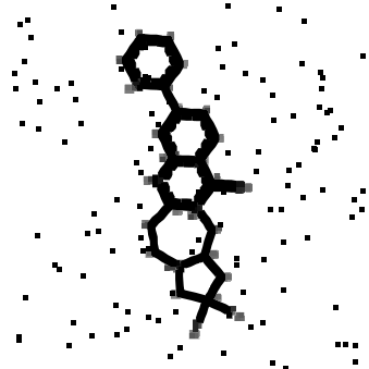 O=c1c2ccc(-c3ccccn3)cc2nc2n1CC1CC(F)(F)CN1CC2